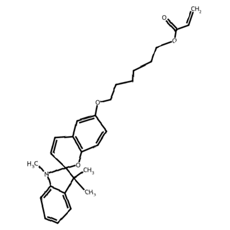 C=CC(=O)OCCCCCCOc1ccc2c(c1)C=CC1(O2)N(C)c2ccccc2C1(C)C